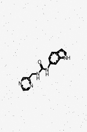 O=C(NCc1cnccn1)Nc1ccc2cc[nH]c2c1